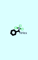 CCCCCCC(c1ccccc1)[Si](Cl)(Cl)Cl